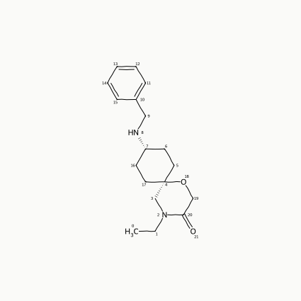 CCN1C[C@]2(CC[C@@H](NCc3ccccc3)CC2)OCC1=O